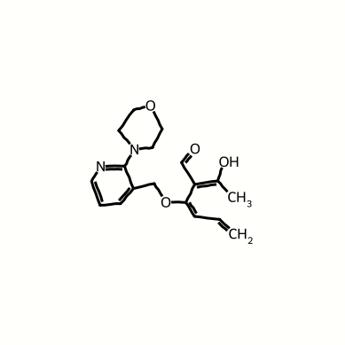 C=C/C=C(OCc1cccnc1N1CCOCC1)\C(C=O)=C(/C)O